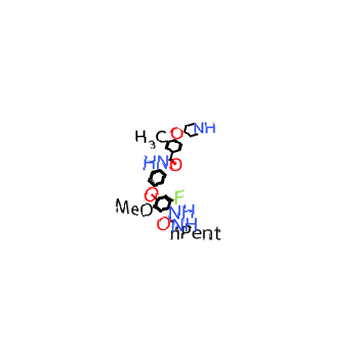 CCCCCNC(=O)Nc1cc(OC)c(Oc2ccc(NC(=O)c3ccc(OC4CCNCC4)c(C)c3)cc2)cc1F